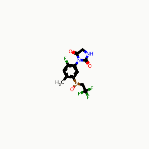 Cc1cc(F)c(N2C(=O)CNC2=O)cc1[S+]([O-])CC(F)(F)F